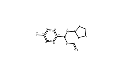 O=CCC([Se]C1CCCC1)c1ccc(Cl)cc1